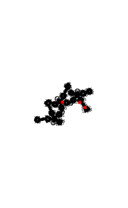 O=C1C(c2ccc(C#Cc3ccccc3)cc2)=C(c2ccc(C#Cc3ccccc3)cc2)C(c2ccc(Oc3ccc(C4=C(c5ccccc5)C(=O)C(c5ccc(C#Cc6ccccc6)cc5)=C4c4ccc(Oc5ccc(C6=C(c7ccccc7)C(=O)C(c7ccc(-c8ccccc8)cc7)=C6c6ccc(C#Cc7ccccc7)cc6)cc5)cc4)cc3)cc2)=C1c1ccccc1